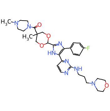 CN1CCN(C(=O)C2(C)COC(c3nc(-c4ccc(F)cc4)c(-c4ccnc(NCCCN5CCOCC5)n4)[nH]3)OC2)CC1